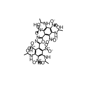 CC(O)Nc1c([N+](=O)[O-])c(NC(C)O)c([N+](=O)[O-])c(-c2nnc(-c3c([N+](=O)[O-])c(NC(C)O)c([N+](=O)[O-])c(NC(C)O)c3[N+](=O)[O-])o2)c1[N+](=O)[O-]